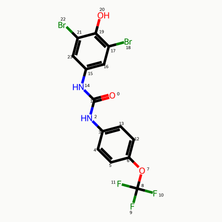 O=C(Nc1ccc(OC(F)(F)F)cc1)Nc1cc(Br)c(O)c(Br)c1